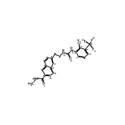 CNC(=O)c1cc2ccc(CCNC(=O)Nc3cccc(C(F)(F)F)c3Cl)cc2cn1